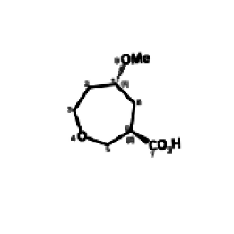 CO[C@H]1CCOC[C@H](C(=O)O)C1